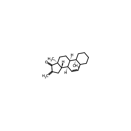 C=C1C[C@H]2[C@@H]3C=CC4CCCC[C@]4(C)[C@@H]3CC[C@]2(C)C1=O